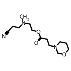 CN(CCC#N)CCOC(=O)CCN1CCCOC1